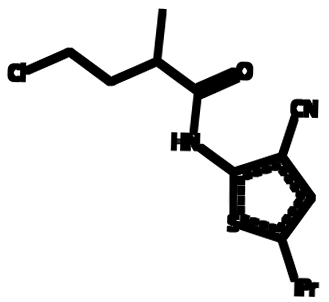 CC(CCCl)C(=O)Nc1sc(C(C)C)cc1C#N